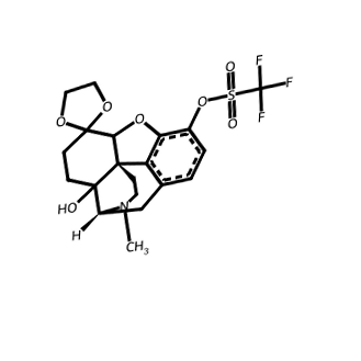 CN1CC[C@]23c4c5ccc(OS(=O)(=O)C(F)(F)F)c4OC2C2(CCC3(O)[C@H]1C5)OCCO2